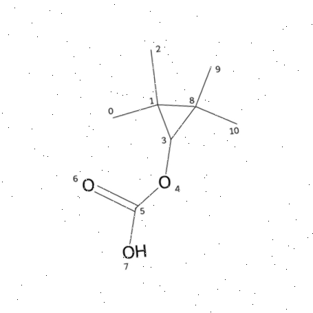 CC1(C)C(OC(=O)O)C1(C)C